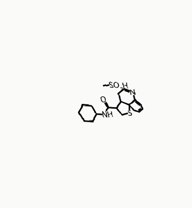 CS(=O)(=O)O.O=C(NC1CCCCC1)C1CSC23CC=CC=C2N=CCC13